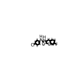 O=C(Nc1ccc(Cl)cc1)NC(CO)Cc1ccc(F)cc1